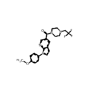 COc1ccc(-n2ccc3cc(C(=O)N4CCN(CC(F)(F)F)CC4)cnc32)cc1